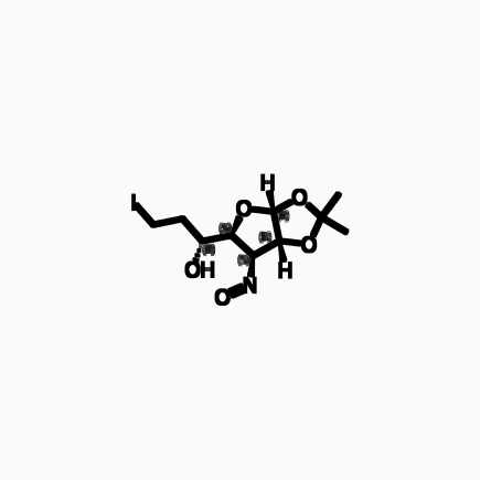 CC1(C)O[C@H]2O[C@H]([C@H](O)CCI)[C@H](N=O)[C@H]2O1